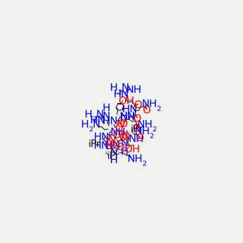 CC(C)C[C@H](NC(=O)[C@@H](NC(=O)[C@H](CO)NC(=O)[C@H](CCCCN)NC(=O)[C@H](CC(C)C)NC(=O)[C@H](CC(C)C)NC(=O)[C@H](CCCCN)NC(=O)[C@H](CCCNC(=N)N)NC(=O)[C@H](Cc1ccc(O)cc1)NC(=O)[C@H](CCC(N)=O)NC(=O)[C@H](CCC(N)=O)NC(=O)[C@@H](C)CCCNC(=N)N)[C@@H](C)O)C(N)=O